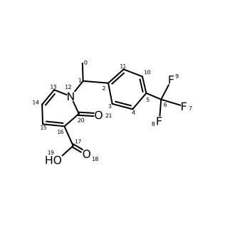 CC(c1ccc(C(F)(F)F)cc1)n1cccc(C(=O)O)c1=O